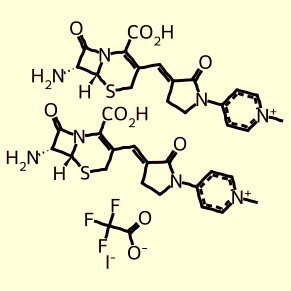 C[n+]1ccc(N2CC/C(=C\C3=C(C(=O)O)N4C(=O)[C@@H](N)[C@H]4SC3)C2=O)cc1.C[n+]1ccc(N2CC/C(=C\C3=C(C(=O)O)N4C(=O)[C@@H](N)[C@H]4SC3)C2=O)cc1.O=C([O-])C(F)(F)F.[I-]